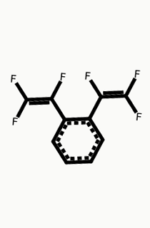 FC(F)=C(F)c1ccccc1C(F)=C(F)F